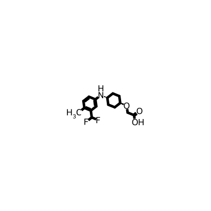 Cc1ccc(N[C@H]2CC[C@H](OCC(=O)O)CC2)cc1C(F)F